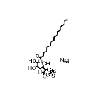 CCCCCCCCCCCCCCCC(=O)OC(O)[C@H](O)[C@H]1OC(=O)C(OP(=O)([O-])[O-])=C1O.[Na+].[Na+]